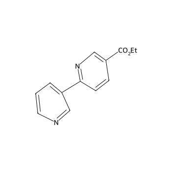 CCOC(=O)c1ccc(-c2cccnc2)nc1